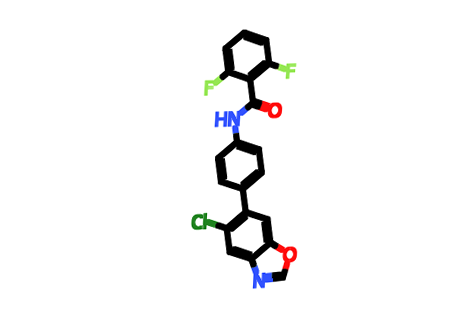 O=C(Nc1ccc(-c2cc3ocnc3cc2Cl)cc1)c1c(F)cccc1F